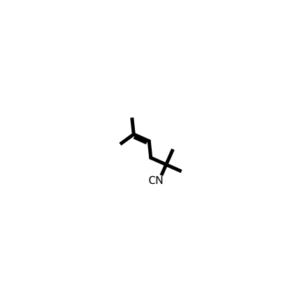 [C-]#[N+]C(C)(C)CC=C(C)C